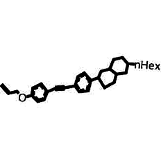 C=CCOc1ccc(C#Cc2ccc(C3CCC4CC(CCCCCC)CCC4C3)cc2)cc1